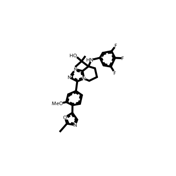 COc1cc(-c2nnc3n2CCCC3(Nc2cc(F)c(F)c(F)c2)C(C)(C)O)ccc1-c1cnc(C)o1